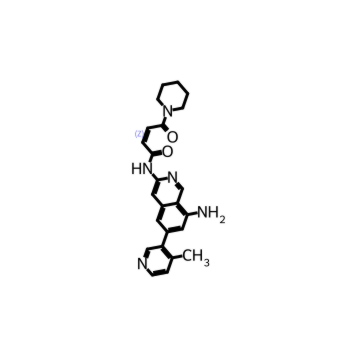 Cc1ccncc1-c1cc(N)c2cnc(NC(=O)/C=C\C(=O)N3CCCCC3)cc2c1